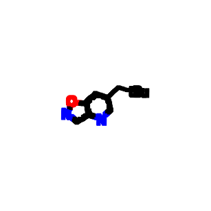 CC(C)(C)Cc1cnc2cnoc2c1